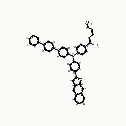 C=C/C=C\C=C(/C)c1ccc(N(c2ccc(-c3ccc(-c4ccccc4)cc3)cc2)c2ccc(-c3cc4cc5ccccc5cc4o3)cc2)cc1